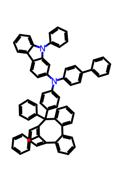 c1ccc(-c2ccc(N(c3ccc(C4(c5ccccc5)c5ccccc5-c5ccccc5-c5cccc4c5-c4ccccc4)cc3)c3ccc4c5ccccc5n(-c5ccccc5)c4c3)cc2)cc1